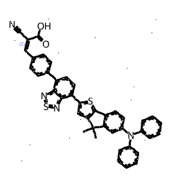 CC1(C)c2cc(N(c3ccccc3)c3ccccc3)ccc2-c2sc(-c3ccc(-c4ccc(/C=C(/C#N)C(=O)O)cc4)c4nsnc34)cc21